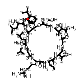 CC[C@H](C)[C@@H]1NC(=O)[C@@H](CCCNC(=N)N)NC(=O)[C@H](CC(C)C)NC(=O)[C@H]([C@H](O)C(C)C)NC(=O)[C@@H](NC(=O)[C@H](CC(C)C)NC(=O)[C@H](N)CC(C)C)[C@@H](c2ccccc2)OC(=O)[C@H](CO)NC(=O)C(C(O)C(N)=O)NC(=O)CNC(=O)C(C(C)O)NC1=O